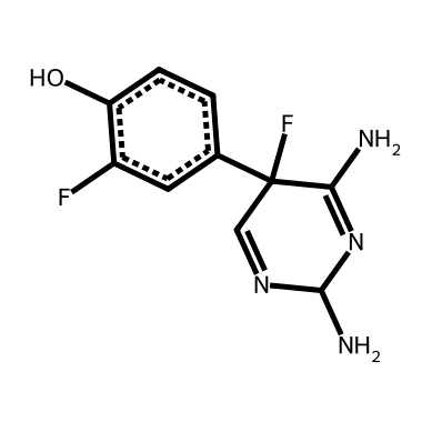 NC1=NC(N)N=CC1(F)c1ccc(O)c(F)c1